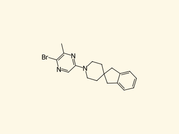 Cc1nc(N2CCC3(CC2)Cc2ccccc2C3)cnc1Br